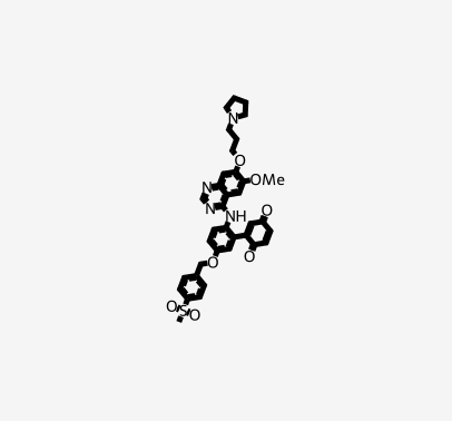 COc1cc2c(Nc3ccc(OCc4ccc(S(C)(=O)=O)cc4)cc3C3=CC(=O)C=CC3=O)ncnc2cc1OCCCN1CCCC1